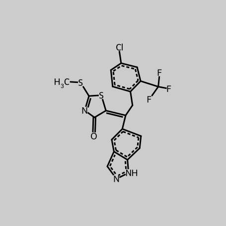 CSC1=NC(=O)C(=C(Cc2ccc(Cl)cc2C(F)(F)F)c2ccc3[nH]ncc3c2)S1